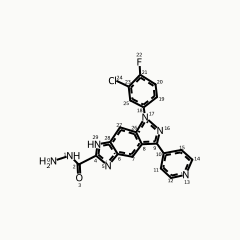 NNC(=O)c1nc2cc3c(-c4ccncc4)nn(-c4ccc(F)c(Cl)c4)c3cc2[nH]1